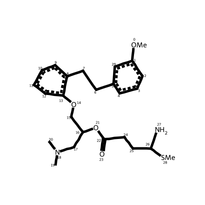 COc1cccc(CCc2ccccc2OCC(CN(C)C)OC(=O)CCC(N)SC)c1